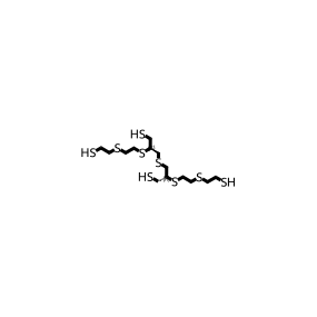 SCCSCCS[C@H](CS)CSC[C@H](CS)SCCSCCS